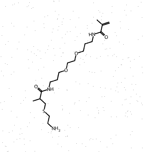 C=C(C)C(=O)NCCCOCCOCCCNC(=O)C(C)CSCCN